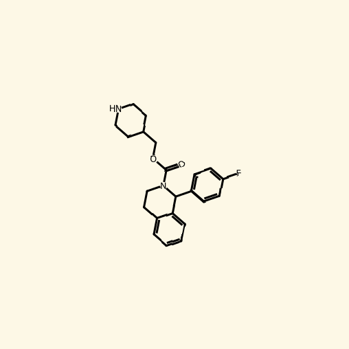 O=C(OCC1CCNCC1)N1CCc2ccccc2C1c1ccc(F)cc1